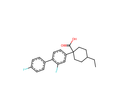 CCC1CCC(C(=O)O)(c2ccc(-c3ccc(F)cc3)c(F)c2)CC1